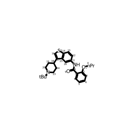 CCCOc1ccccc1C(=O)Nc1ccc2scc(C3CCN(C(C)(C)C)CC3)c2c1